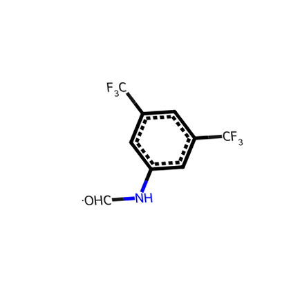 O=[C]Nc1cc(C(F)(F)F)cc(C(F)(F)F)c1